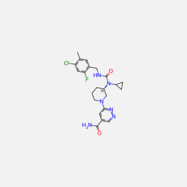 Cc1cc(CNC(=O)N(C2CC2)[C@@H]2CCCN(c3cc(C(N)=O)cnn3)C2)c(F)cc1Cl